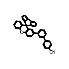 N#Cc1ccc(-c2cccc(-c3ccc4c(c3)C3(c5ccccc5O4)c4ccccc4-c4ccccc43)c2)cc1